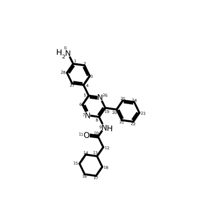 Nc1ccc(-c2cnc(NC(=O)CC3CCCCC3)c(-c3ccccc3)n2)cc1